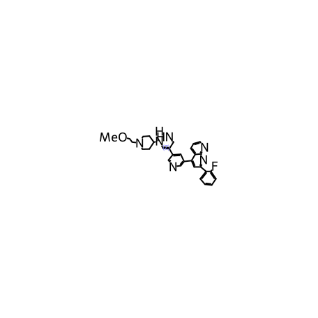 COCCN1CCC(N/C=C(\C=N)c2cncc(-c3cc(-c4ccccc4F)nc4ncccc34)c2)CC1